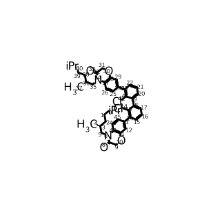 CC(C)CC[C@H](C)CN1C(=O)COc2cc(-c3cccc(-c4cccc(-c5ccc6c(c5)OCC(=O)N6C[C@@H](C)CCC(C)C)c4Cl)c3Cl)ccc21